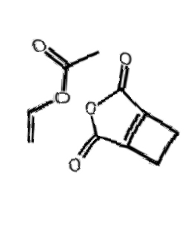 C=COC(C)=O.O=C1OC(=O)C2=C1CC2